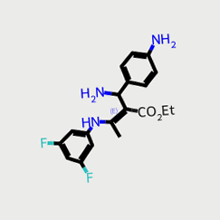 CCOC(=O)/C(=C(\C)Nc1cc(F)cc(F)c1)C(N)c1ccc(N)cc1